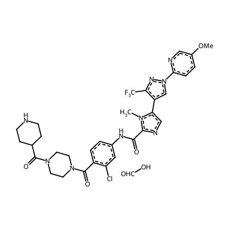 COc1ccc(-n2cc(-c3cnc(C(=O)Nc4ccc(C(=O)N5CCN(C(=O)C6CCNCC6)CC5)c(Cl)c4)n3C)c(C(F)(F)F)n2)nc1.O=CO